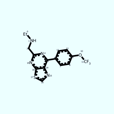 CCNCc1nc(-c2ccc(OC(F)(F)F)cc2)c2ncsc2n1